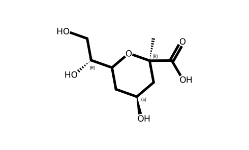 C[C@]1(C(=O)O)C[C@@H](O)CC([C@H](O)CO)O1